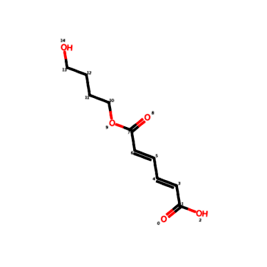 O=C(O)C=CC=CC(=O)OCCCCO